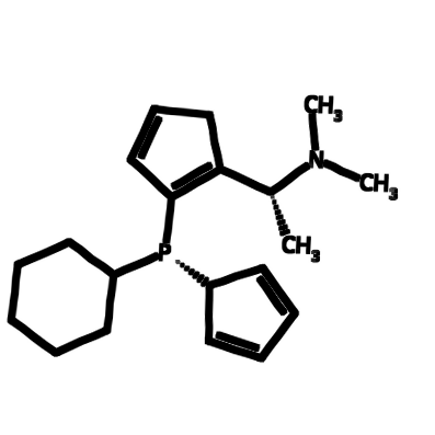 C[C@H](C1=C([P@](C2C=CC=C2)C2CCCCC2)C=CC1)N(C)C